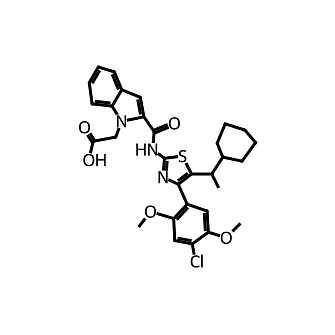 COc1cc(-c2nc(NC(=O)c3cc4ccccc4n3CC(=O)O)sc2C(C)C2CCCCC2)c(OC)cc1Cl